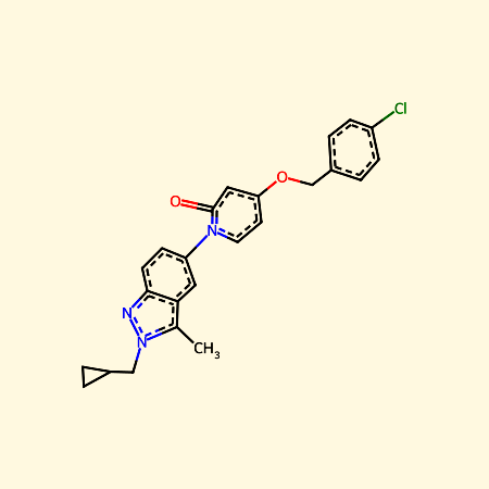 Cc1c2cc(-n3ccc(OCc4ccc(Cl)cc4)cc3=O)ccc2nn1CC1CC1